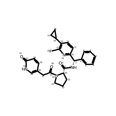 O=C(N[C@@H](c1ccccc1)c1ccc(C2CC2)c(F)n1)[C@@H]1CCCN1C(=O)Cc1ccc(=O)[nH]c1